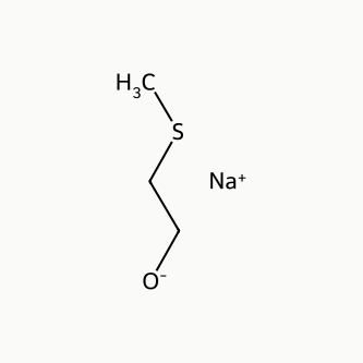 CSCC[O-].[Na+]